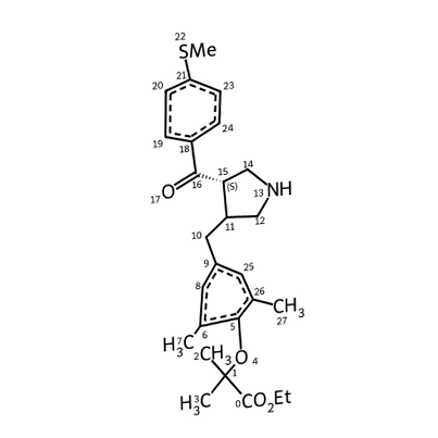 CCOC(=O)C(C)(C)Oc1c(C)cc(CC2CNC[C@H]2C(=O)c2ccc(SC)cc2)cc1C